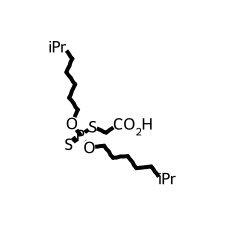 CC(C)CCCCCOP(=S)(OCCCCCC(C)C)SCC(=O)O